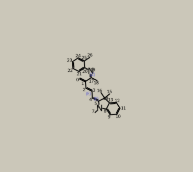 C=C(/C=C/C=C1/N(C)c2ccccc2C1(C)C)/C(C)=N\c1ccccc1C